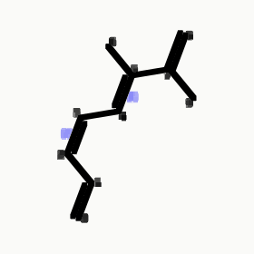 C=C/C=C\C=C(/C)C(=C)C